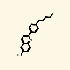 CCCCCc1ccc(-c2ccc3cc(O)ccc3n2)cc1